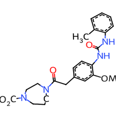 COc1cc(CC(=O)N2CCCN(C(=O)O)CC2)ccc1NC(=O)Nc1ccccc1C